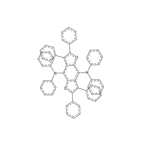 c1ccc(-c2oc3c(N(c4ccccc4)c4ccccc4)c4c(-c5ccccc5)c(-c5ccccc5)oc4c(N(c4ccccc4)c4ccccc4)c3c2-c2ccccc2)cc1